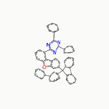 c1ccc(-c2cccc(C3(c4ccc5c(c4)oc4cccc(-c6nc(-c7ccccc7)nc(-c7ccccc7)n6)c45)c4ccccc4-c4ccccc43)c2)cc1